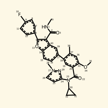 CNC(=O)c1c(-c2ccc(F)cc2)oc2ccc(-c3cc(C(=O)N(c4ccn(C)n4)C4CC4)c(OC)cc3C)cc12